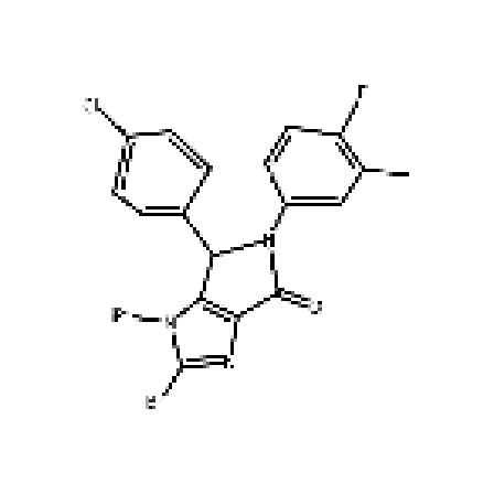 Cc1cc(N2C(=O)c3nc(Br)n(C(C)C)c3C2c2ccc(Cl)cc2)ccc1F